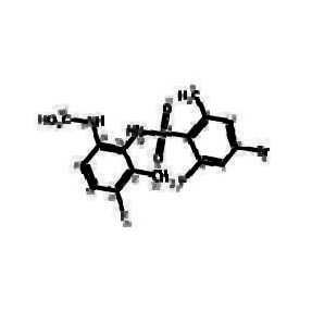 Cc1cc(Br)cc(F)c1S(=O)(=O)Nc1c(NC(=O)O)ccc(F)c1C